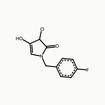 O=C1C(Cl)C(O)=CN1Cc1ccc(F)cc1